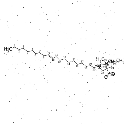 CCCCCCCCCC=CCCCCCCCCCCCCC(CCC)(P(=O)=O)[N+](C)(C)C